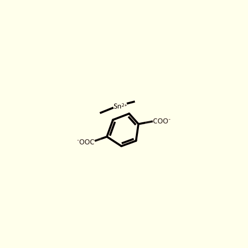 O=C([O-])c1ccc(C(=O)[O-])cc1.[CH3][Sn+2][CH3]